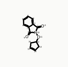 O=C1c2ccccc2C(=O)N1OC1CC=CC1